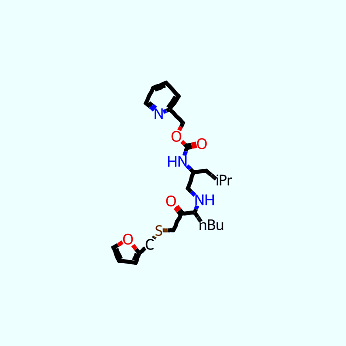 CCCCC(NCC(CC(C)C)NC(=O)OCc1ccccn1)C(=O)CSCc1ccco1